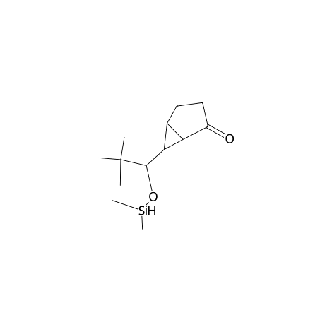 C[SiH](C)OC(C1C2CCC(=O)C21)C(C)(C)C